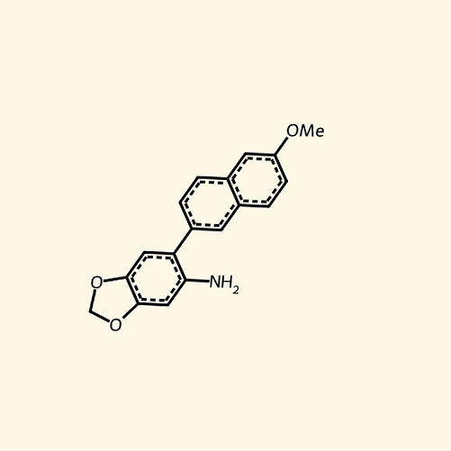 COc1ccc2cc(-c3cc4c(cc3N)OCO4)ccc2c1